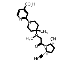 C#C[C@H]1CC[C@@H](C#N)N1C(=O)CN(C)C1(C)CCN(c2cc(C(=O)O)ccn2)CC1